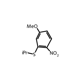 COc1ccc([N+](=O)[O-])c(SC(C)C)c1